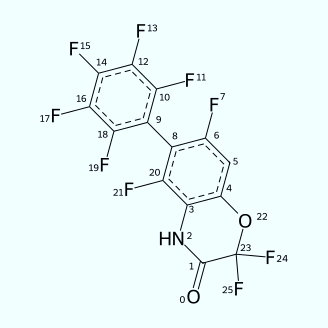 O=C1Nc2c(cc(F)c(-c3c(F)c(F)c(F)c(F)c3F)c2F)OC1(F)F